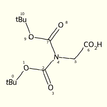 CC(C)(C)OC(=O)N(CC(=O)O)C(=O)OC(C)(C)C